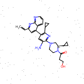 C=Cc1cc(-c2cc(N)c(N3CCN(C(=O)CCO)[C@H](C4CC4)C3)nc2C2CC2)c2cccnc2n1